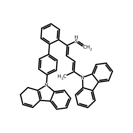 C=[SH]/C(=C\C=C(/C)n1c2ccccc2c2ccccc21)c1ccccc1-c1ccc(-n2c3c(c4ccccc42)C=CCC3)cc1